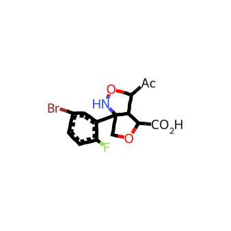 CC(=O)C1ONC2(c3cc(Br)ccc3F)COC(C(=O)O)C12